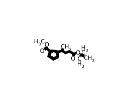 C=C(CCC(=O)OC(C)(C)C)c1cccc(C(=O)OC)c1